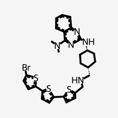 CN(C)c1nc(N[C@H]2CC[C@@H](CNCc3ccc(-c4ccc(-c5ccc(Br)s5)s4)s3)CC2)nc2ccccc12